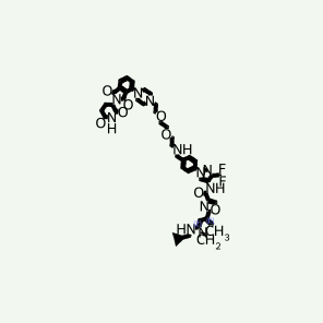 C=N/C(=C\C(=C/C)c1nc(C(=O)Nc2cn(-c3ccc(CNCCOCCOCCN4CCN(c5cccc6c5C(=O)N(C5CCC(=O)NC5=O)C6=O)CC4)cc3)nc2C(F)F)co1)NCC1CC1